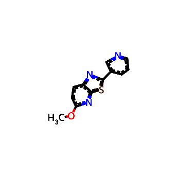 COc1ccc2nc(-c3cccnc3)sc2n1